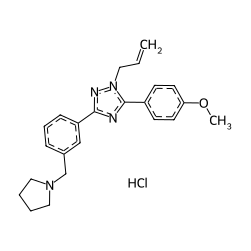 C=CCn1nc(-c2cccc(CN3CCCC3)c2)nc1-c1ccc(OC)cc1.Cl